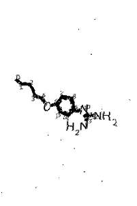 CCCCCOc1ccc(N=C(N)N)cc1